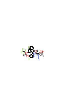 CC(C)Oc1cc([C@@](Cc2ccccc2)(NC(=O)[C@@H](N)C(O)(C(F)(F)F)C(F)(F)F)c2cc(F)cc(OC(F)(F)C(F)F)c2)ccc1F